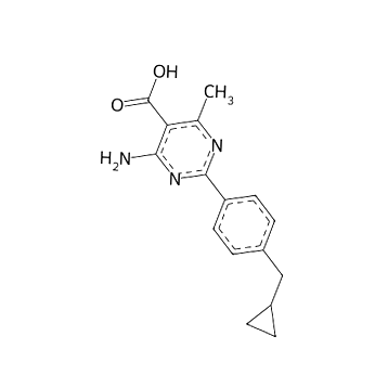 Cc1nc(-c2ccc(CC3CC3)cc2)nc(N)c1C(=O)O